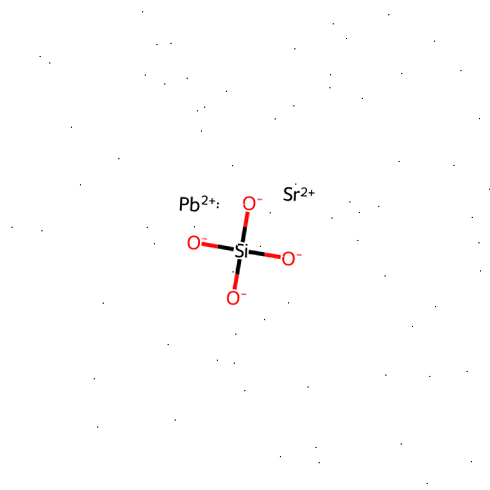 [O-][Si]([O-])([O-])[O-].[Pb+2].[Sr+2]